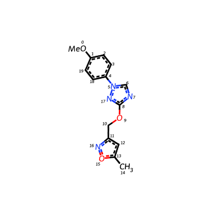 COc1ccc(-n2cnc(OCc3cc(C)on3)n2)cc1